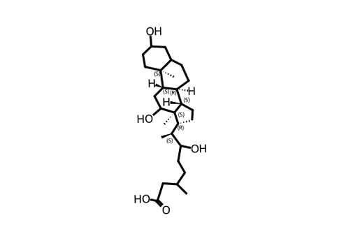 CC(CCC(O)[C@@H](C)[C@H]1CC[C@H]2[C@@H]3CCC4CC(O)CC[C@]4(C)[C@H]3CC(O)[C@]12C)CC(=O)O